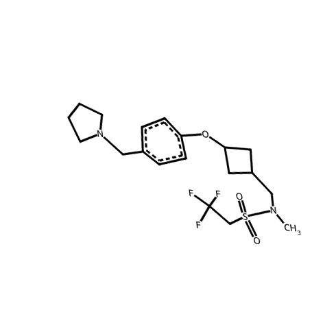 CN(CC1CC(Oc2ccc(CN3CCCC3)cc2)C1)S(=O)(=O)CC(F)(F)F